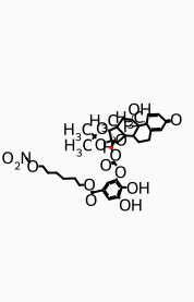 CC1(C)O[C@@H]2CC3C4CCC5=CC(=O)C=C[C@]5(C)[C@@]4(F)[C@@H](O)C[C@]3(C)[C@]2(C(=O)COC(=O)Oc2cc(C(=O)OCCCCCCO[N+](=O)[O-])cc(O)c2O)O1